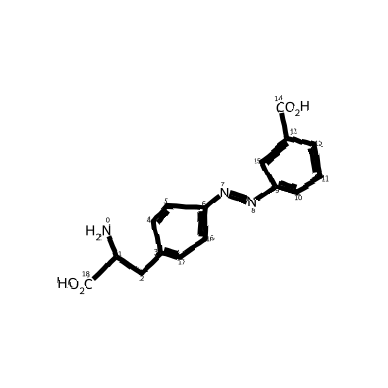 NC(Cc1ccc(N=Nc2cccc(C(=O)O)c2)cc1)C(=O)O